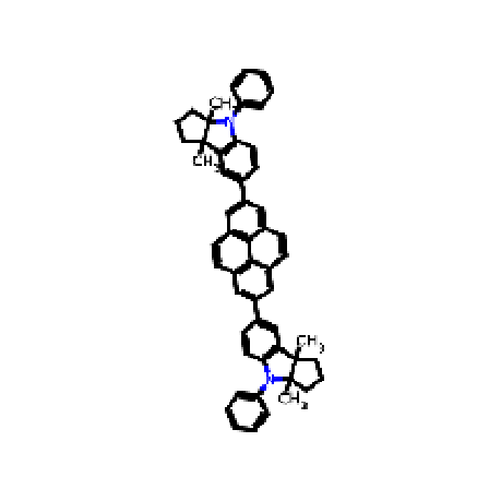 CC12CCCC1(C)N(c1ccccc1)c1ccc(-c3cc4ccc5cc(-c6ccc7c(c6)C6(C)CCCC6(C)N7c6ccccc6)cc6ccc(c3)c4c56)cc12